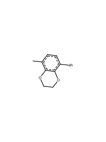 Cc1ccc(C(C)C)c2c1OCCO2